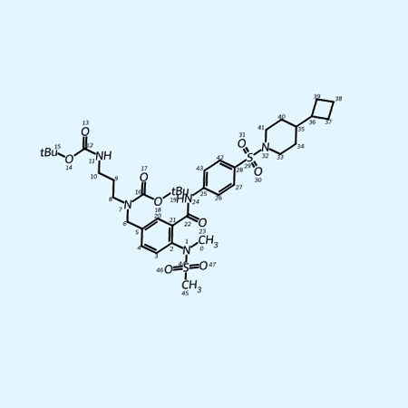 CN(c1ccc(CN(CCCNC(=O)OC(C)(C)C)C(=O)OC(C)(C)C)cc1C(=O)Nc1ccc(S(=O)(=O)N2CCC(C3CCC3)CC2)cc1)S(C)(=O)=O